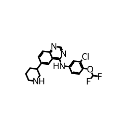 FC(F)Oc1ccc(Nc2ncnc3ccc(C4CCCNC4)cc23)cc1Cl